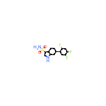 NS(=O)(=O)c1c[nH]c2cc(-c3cc(F)c(F)cc3F)ccc12